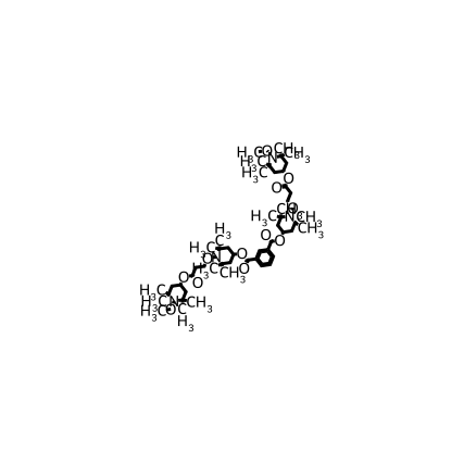 CON1C(C)(C)CC(OC(=O)CCON2C(C)(C)CC(OC(=O)c3cccc(C(=O)OC4CC(C)(C)N(OCCC(=O)OC5CC(C)(C)N(OC)C(C)(C)C5)C(C)(C)C4)c3)CC2(C)C)CC1(C)C